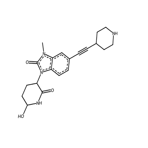 Cn1c(=O)n(C2CCC(O)NC2=O)c2ccc(C#CC3CCNCC3)cc21